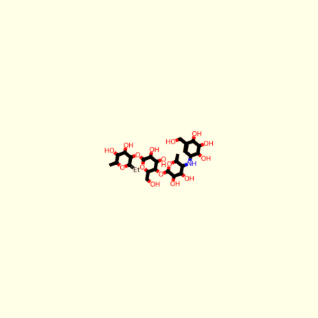 CCC1OC(C)C(O)C(O)C1OC1OC(CO)C(OC2OC(C)C(NC3C=C(CO)C(O)C(O)C3O)C(O)C2O)C(O)C1O